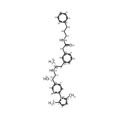 Cc1ccc(C)n1-c1ccc([C@H](O)CN[C@H](C)Cc2cccc(CC(=O)NCCCc3ccccc3)c2)cn1